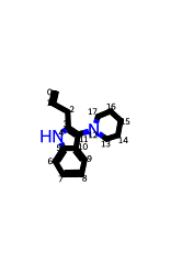 C=CCc1[nH]c2ccccc2c1N1CCCCC1